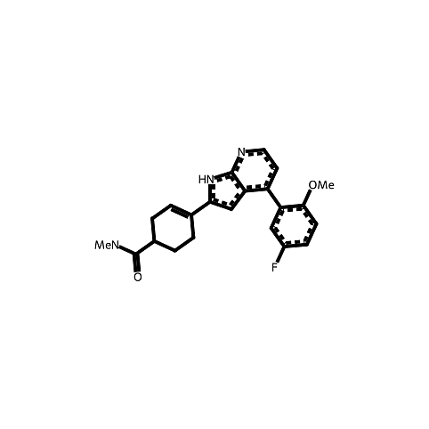 CNC(=O)C1CC=C(c2cc3c(-c4cc(F)ccc4OC)ccnc3[nH]2)CC1